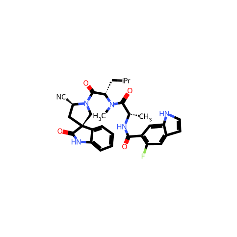 CC(C)C[C@@H](C(=O)N1C[C@]2(C[C@H]1C#N)C(=O)Nc1ccccc12)N(C)C(=O)[C@H](C)NC(=O)c1cc2[nH]ccc2cc1F